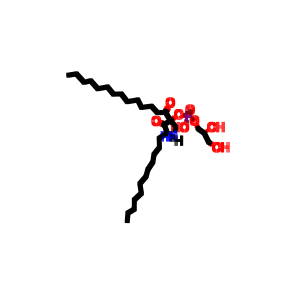 [2H]NCC(OP(=O)(O)OC[C@H](O)CO)(C(=O)CCCCCCCCCCCCC)C(=O)CCCCCCCCCCCCC